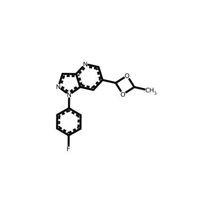 CC1OC(c2cnc3cnn(-c4ccc(F)cc4)c3c2)O1